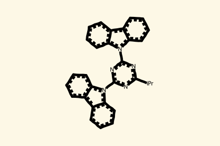 CC(C)c1nc(-n2c3ccccc3c3ccccc32)nc(-n2c3ccccc3c3ccccc32)n1